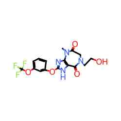 CN1C(=O)CN(CCO)C(=O)c2[nH]c(Oc3cccc(OC(F)(F)F)c3)nc21